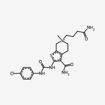 C[N+]1(CCCC(N)=O)CCc2c(sc(NC(=O)Nc3ccc(Cl)cc3)c2C(N)=O)C1